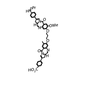 CCCNc1ccc(C2=CN3C(=O)c4cc(OC)c(OCCCOc5cc6c(cc5C)C(=O)N5C=C(c7ccc(C(=O)O)cc7)C[C@H]5C=N6)cc4N=C[C@@H]3C2)cc1